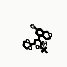 CC(C)(C)[S@+]([O-])NC(CCC1OCCCO1)c1cc(Cl)cc2c1CCOC2